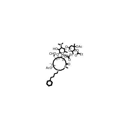 CCC(=O)O[C@@H]1CC(=O)N(C)CCN(CCCCc2ccccc2)C[C@H](OC(C)=O)[C@H](C)C[C@H](CC=O)[C@H](O[C@@H]2OC(C)[C@@H](O[C@H]3CC(C)(OC(C)=O)[C@@H](OC(=O)CC)C(C)O3)C(N(C)C)C2O)[C@H]1OC